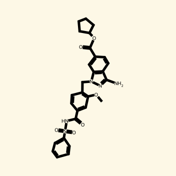 COc1cc(C(=O)NS(=O)(=O)c2ccccc2)ccc1Cn1nc(N)c2ccc(C(=O)OC3CCCC3)cc21